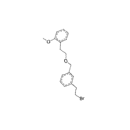 COc1ccccc1CCOCc1cccc(CCBr)c1